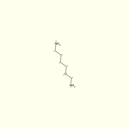 NCCCCOCN